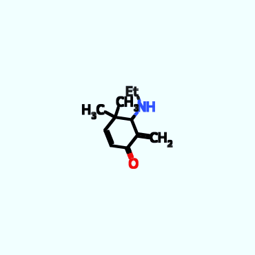 C=C1C(=O)C=CC(C)(C)C1NCC